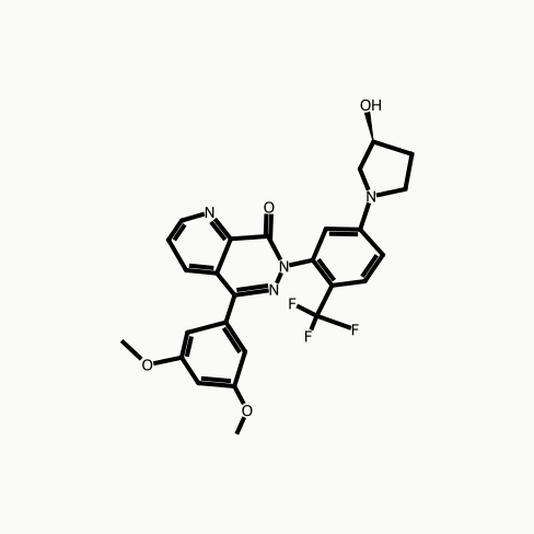 COc1cc(OC)cc(-c2nn(-c3cc(N4CC[C@H](O)C4)ccc3C(F)(F)F)c(=O)c3ncccc23)c1